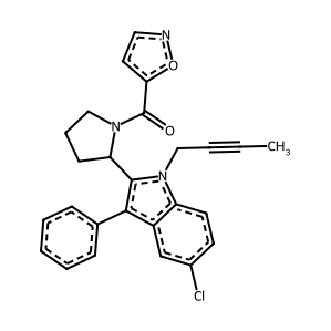 CC#CCn1c(C2CCCN2C(=O)c2ccno2)c(-c2ccccc2)c2cc(Cl)ccc21